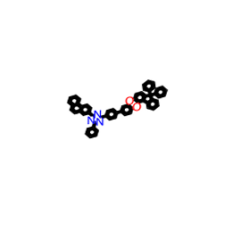 c1ccc(-c2nc(-c3ccc(-c4ccc5c(c4)Oc4ccc6c(c4O5)-c4ccccc4C6(c4ccccc4)c4ccccc4)cc3)nc(-c3ccc4c(ccc5ccccc54)c3)n2)cc1